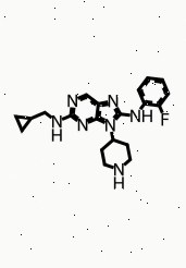 Fc1ccccc1Nc1nc2cnc(NCC3CC3)nc2n1C1CCNCC1